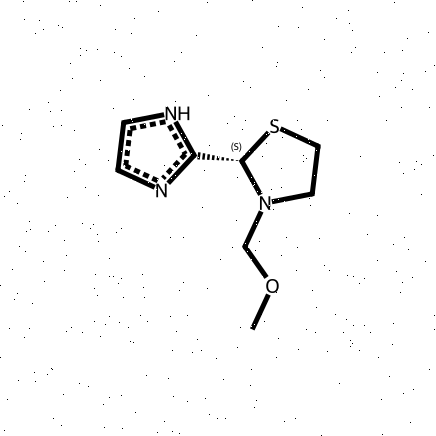 COCN1CCS[C@H]1c1ncc[nH]1